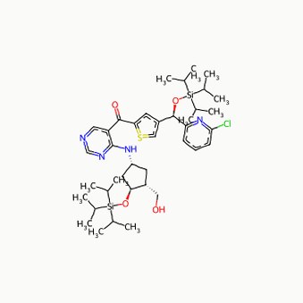 CC(C)[Si](O[C@H](c1csc(C(=O)c2cncnc2N[C@@H]2C[C@H](CO)[C@@H](O[Si](C(C)C)(C(C)C)C(C)C)C2)c1)c1cccc(Cl)n1)(C(C)C)C(C)C